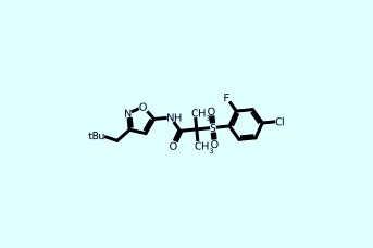 CC(C)(C)Cc1cc(NC(=O)C(C)(C)S(=O)(=O)c2ccc(Cl)cc2F)on1